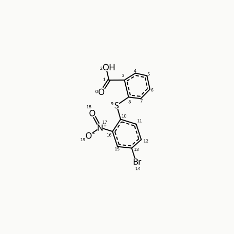 O=C(O)c1ccccc1Sc1ccc(Br)cc1[N+](=O)[O-]